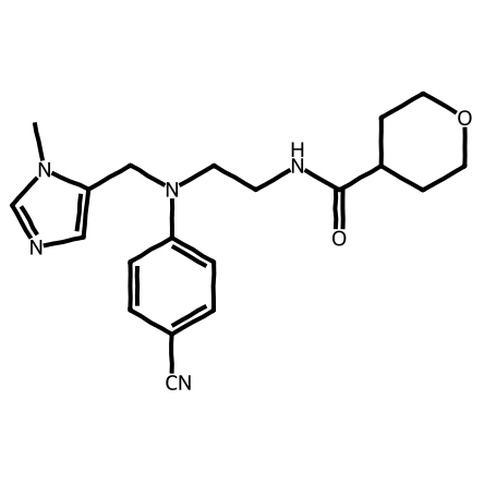 Cn1cncc1CN(CCNC(=O)C1CCOCC1)c1ccc(C#N)cc1